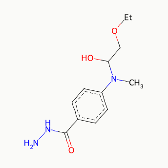 CCOCC(O)N(C)c1ccc(C(=O)NN)cc1